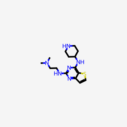 CN(C)CCNc1nc(NC2CCNCC2)c2sccc2n1